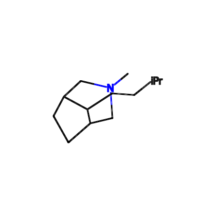 CC(C)CCC1C2CCC1CN(C)C2